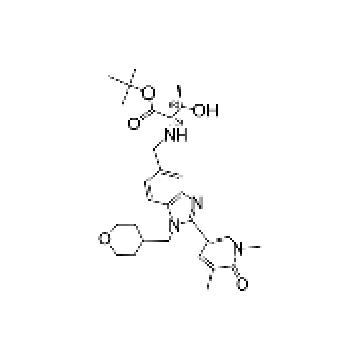 Cc1cc(-c2nc3cc(CN[C@H](C(=O)OC(C)(C)C)[C@@H](C)O)ccc3n2CC2CCOCC2)cn(C)c1=O